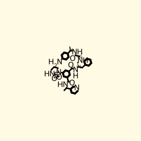 CC(NC(=O)c1cc(C(=O)N[C@H](CN[C@@H](C)C(=O)N[C@H](C)c2ccc(N)cc2)Cc2ccccc2)cc(N2CCCNS2(=O)=O)c1)c1cccnc1